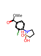 COC(=O)c1ccc(N2CCCS2(O)O)c(F)c1